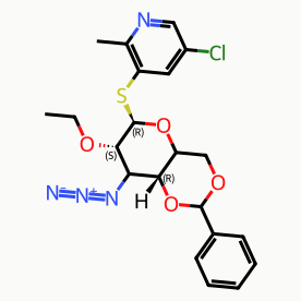 CCO[C@H]1C(N=[N+]=[N-])[C@H]2OC(c3ccccc3)OCC2O[C@@H]1Sc1cc(Cl)cnc1C